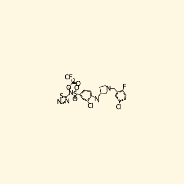 CN(c1ccc(S(=O)(=O)N(OC(=O)C(F)(F)F)c2ncns2)cc1Cl)[C@H]1CCN(Cc2cc(Cl)ccc2F)C1